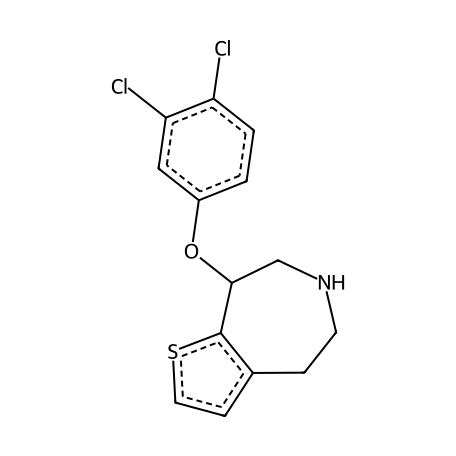 Clc1ccc(OC2CNCCc3ccsc32)cc1Cl